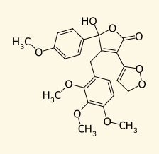 COc1ccc(C2(O)OC(=O)C(C3=CCOO3)=C2Cc2ccc(OC)c(OC)c2OC)cc1